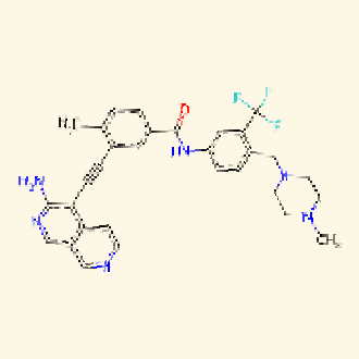 Cc1ccc(C(=O)Nc2ccc(CN3CCN(C)CC3)c(C(F)(F)F)c2)cc1C#Cc1c(N)ncc2cnccc12